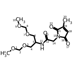 COCOCC(COCOC)NC(=O)CN1C(=O)C=C(C)C1=O